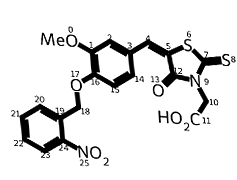 COc1cc(C=C2SC(=S)N(CC(=O)O)C2=O)ccc1OCc1ccccc1[N+](=O)[O-]